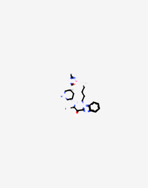 COCCCCn1c(C(=O)C(N[C@H]2C[C@@H](c3nc(C)no3)CN(C(=O)O)C2)C(C)C)nc2ccccc21